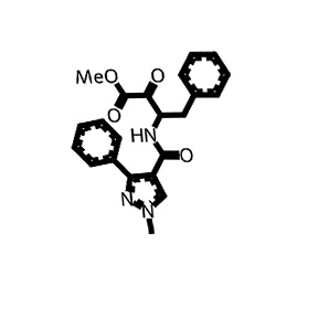 COC(=O)C(=O)C(Cc1ccccc1)NC(=O)c1cn(C)nc1-c1ccccc1